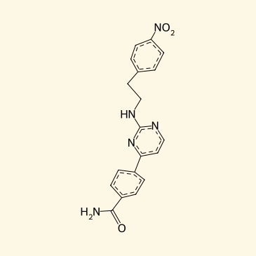 NC(=O)c1ccc(-c2ccnc(NCCc3ccc([N+](=O)[O-])cc3)n2)cc1